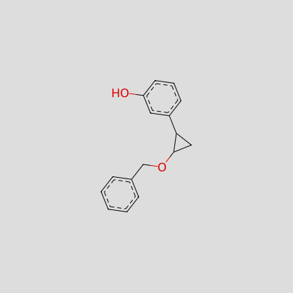 Oc1cccc(C2CC2OCc2ccccc2)c1